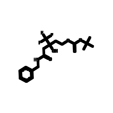 CC(C)(C)OC(=O)OCCC(O)(CC(=O)NCc1ccccc1)C(F)(F)F